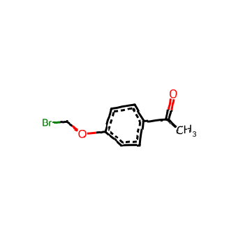 CC(=O)c1ccc(OCBr)cc1